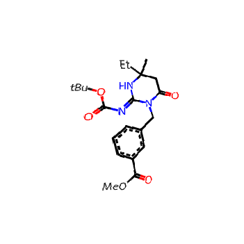 CCC1(C)CC(=O)N(Cc2cccc(C(=O)OC)c2)C(=NC(=O)OC(C)(C)C)N1